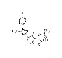 CC(=O)OC(C(=O)O)C1OCCN(c2cc(C)n(-c3ccc(F)cc3)n2)C1=O